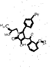 CCOc1ccccc1C(=O)C1=C(O)C(=O)N(CC(C)O)C1c1ccc(C(C)C)cc1